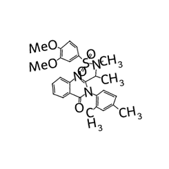 COc1ccc(S(=O)(=O)N(C)C(C)c2nc3ccccc3c(=O)n2-c2ccc(C)cc2C)cc1OC